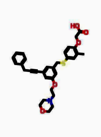 Cc1cc(SCc2cc(C#CCc3ccccc3)cc(OCCN3CCOCC3)c2)ccc1OCC(=O)O